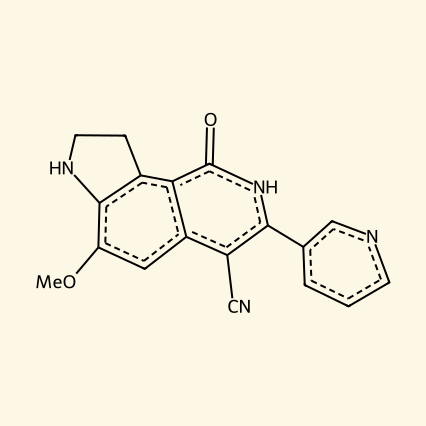 COc1cc2c(C#N)c(-c3cccnc3)[nH]c(=O)c2c2c1NCC2